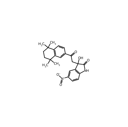 CC1(C)CCC(C)(C)c2cc(C(=O)CC3(O)C(=O)Nc4ccc([N+](=O)[O-])cc43)ccc21